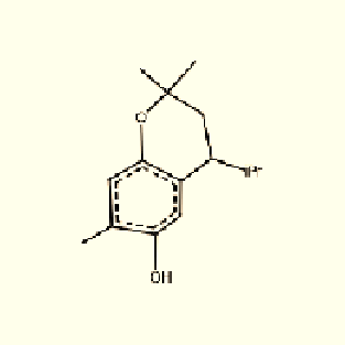 Cc1cc2c(cc1O)C(C(C)C)CC(C)(C)O2